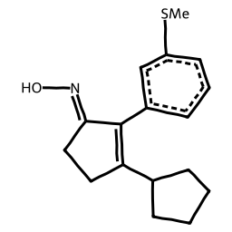 CSc1cccc(C2=C(C3CCCC3)CCC2=NO)c1